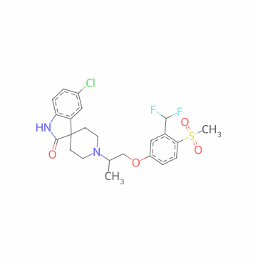 CC(COc1ccc(S(C)(=O)=O)c(C(F)F)c1)N1CCC2(CC1)C(=O)Nc1ccc(Cl)cc12